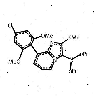 CCCN(CCC)c1c(SC)nc2c(-c3c(OC)cc(Cl)cc3OC)cccn12